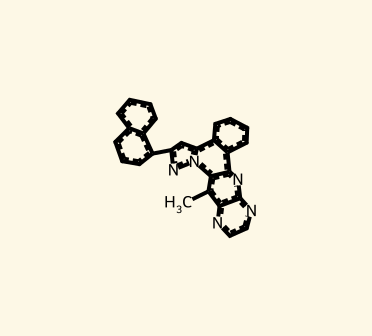 Cc1c2nccnc2nc2c3ccccc3c3cc(-c4cccc5ccccc45)nn3c12